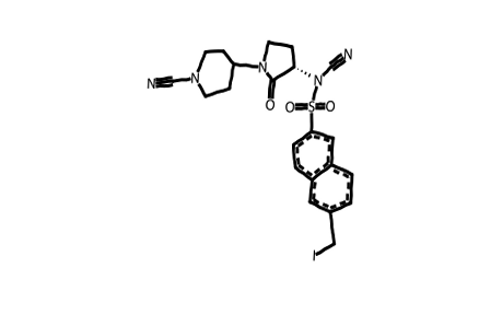 N#CN1CCC(N2CC[C@H](N(C#N)S(=O)(=O)c3ccc4cc(CI)ccc4c3)C2=O)CC1